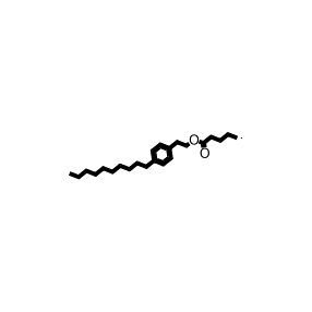 [CH2]CCCC(=O)OCCc1ccc(CCCCCCCCCC)cc1